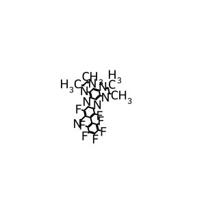 Cc1nc2c3nc(C)c(C)nc3c3nc4c(F)c(-c5c(F)c(F)c(F)c(F)c5F)c(C#N)c(F)c4nc3c2nc1C